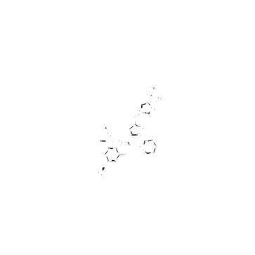 Cc1cc(C#N)cc(C(=O)NC(C)(C)C)c1NC(=O)c1cc(Cn2cc(C(F)(C(F)(F)F)C(F)(F)F)nn2)nn1-c1ncccc1Cl